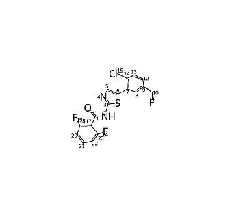 O=C(Nc1ncc(-c2cc(CF)ccc2Cl)s1)c1c(F)cccc1F